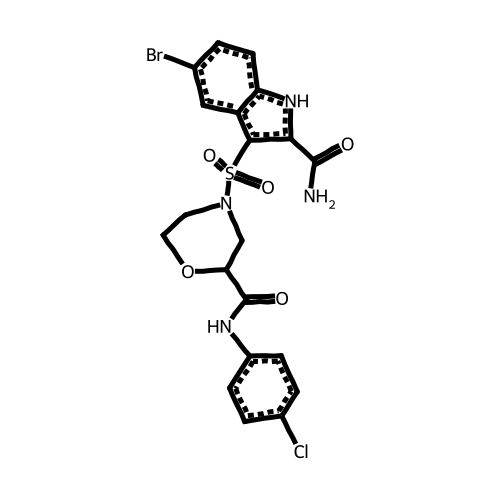 NC(=O)c1[nH]c2ccc(Br)cc2c1S(=O)(=O)N1CCOC(C(=O)Nc2ccc(Cl)cc2)C1